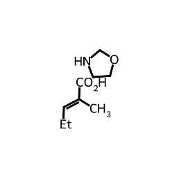 C1COCN1.CCC=C(C)C(=O)O